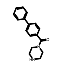 O=C(c1ccc(-c2ccccc2)cc1)N1CCNCC1